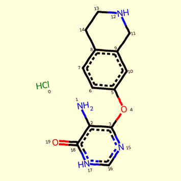 Cl.Nc1c(Oc2ccc3c(c2)CNCC3)nc[nH]c1=O